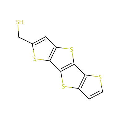 SCc1cc2sc3c4sccc4sc3c2s1